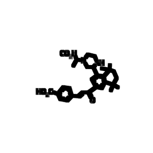 CC(C(=O)O)N1CCNC(c2cc(C(=O)/C=C/c3ccc(C(=O)O)cc3)cc3c2C(C)(C)CCC3(C)C)C1